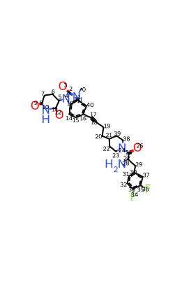 Cn1c(=O)n(C2CCC(=O)NC2=O)c2ccc(C#CCCC3CCN(C(=O)C(N)Cc4ccc(F)c(F)c4)CC3)cc21